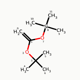 C=C(OC(C)(C)C)O[Si](C)(C)C